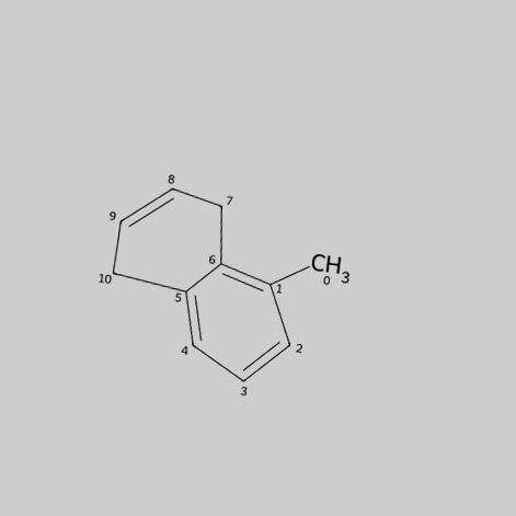 Cc1cccc2c1CC=CC2